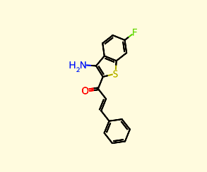 Nc1c(C(=O)C=Cc2ccccc2)sc2cc(F)ccc12